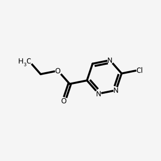 CCOC(=O)c1cnc(Cl)nn1